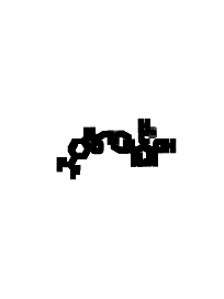 Cc1c(O)ncnc1N1CCN(Cc2nc3ccc(C(F)F)cc3o2)CC1